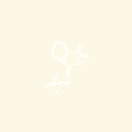 O=C1NS(=O)(=O)c2ccccc21.O=S(=O)(O)O